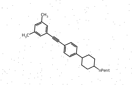 CCCCCC1CCC(c2ccc(C#Cc3cc(C)cc(C)c3)cc2)CC1